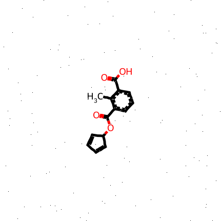 Cc1c(C(=O)O)cccc1C(=O)OC1C=CC=C1